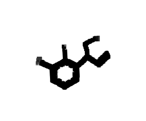 C=CC(CCl)c1cccc(F)c1F